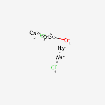 O=C([O-])[O-].[Ca+2].[Cl-].[Cl-].[Na+].[Na+]